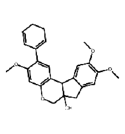 COc1cc2c(cc1OC)C1c3cc(C4=CCCC=C4)c(OC)cc3OCC1(O)C2